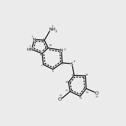 Nc1n[nH]c2ccc(Sc3cc(Cl)cc(Cl)c3)nc12